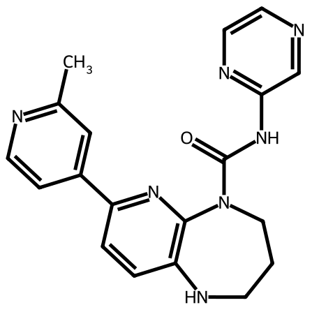 Cc1cc(-c2ccc3c(n2)N(C(=O)Nc2cnccn2)CCCN3)ccn1